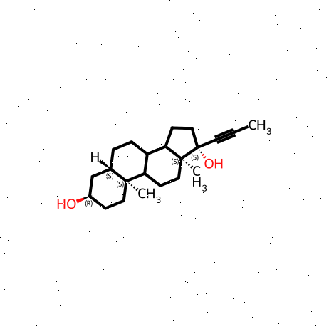 CC#C[C@]1(O)CCC2C3CC[C@H]4C[C@H](O)CC[C@]4(C)C3CC[C@@]21C